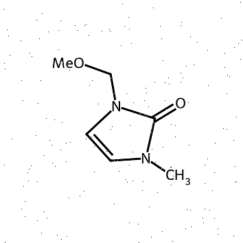 COCn1ccn(C)c1=O